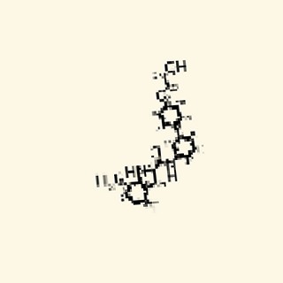 Cc1ccc(F)c2c1NC(C(=O)Nc1cccc(-c3ccc(OCCO)cc3)c1)C2